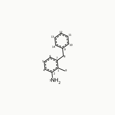 Cc1c(N)cccc1Cc1ccccc1